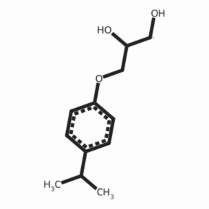 CC(C)c1ccc(OCC(O)[CH]O)cc1